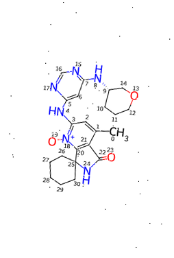 Cc1cc(Nc2cc(N[C@H]3CCCOC3)ncn2)[n+]([O-])c2c1C(=O)NC21CCCCC1